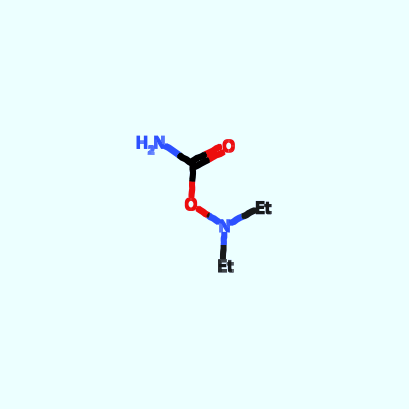 CCN(CC)OC(N)=O